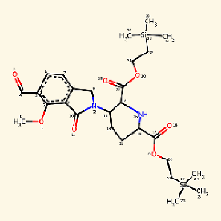 COc1c(C=O)ccc2c1C(=O)N(C1CCC(C(=O)OCC[Si](C)(C)C)NC1C(=O)OCC[Si](C)(C)C)C2